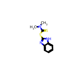 CN(C)C(=S)Sc1nc2ccccc2[nH]1